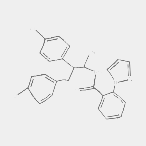 CC(NC(=O)c1ccccc1-n1cccn1)C(Cc1ccc(Cl)cc1)c1ccc(Cl)cc1